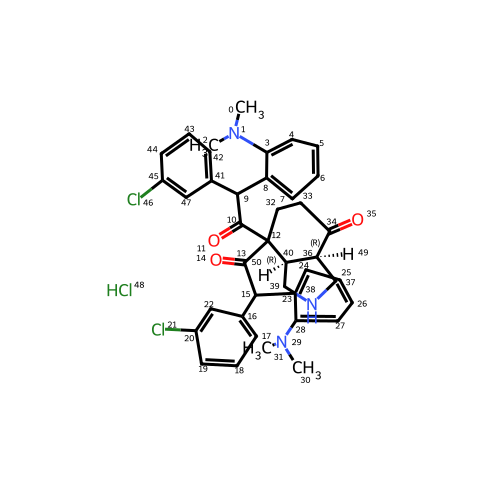 CN(C)c1ccccc1C(C(=O)C1(C(=O)C(c2cccc(Cl)c2)c2ccccc2N(C)C)CCC(=O)[C@H]2CNC[C@H]21)c1cccc(Cl)c1.Cl